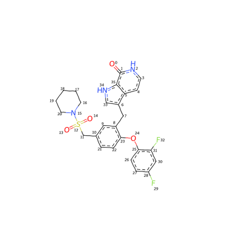 O=c1[nH]ccc2c(Cc3cc(CS(=O)(=O)N4CCCCC4)ccc3Oc3ccc(F)cc3F)c[nH]c12